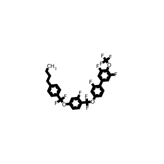 CCCCc1ccc(C(F)(F)Oc2ccc(C(F)(F)Oc3ccc(-c4cc(F)c(OC(F)(F)F)c(F)c4)c(F)c3)c(F)c2)cc1